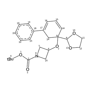 CC(C)(C)OC(=O)N1CC(OC2(C3OCCO3)C=CC=C(c3ccccc3)C2)C1